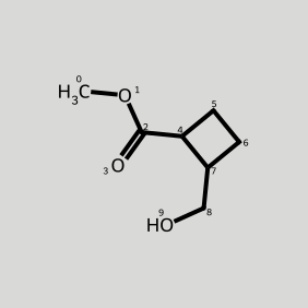 COC(=O)C1CCC1CO